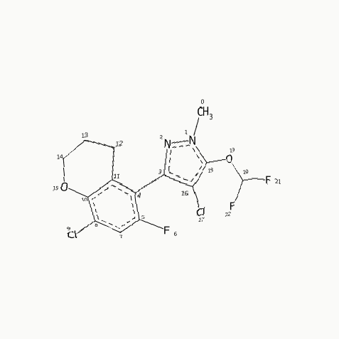 Cn1nc(-c2c(F)cc(Cl)c3c2CCCO3)c(Cl)c1OC(F)F